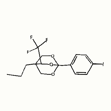 CCCC12COC(c3ccc(I)cc3)(OC1)OC2C(F)(F)F